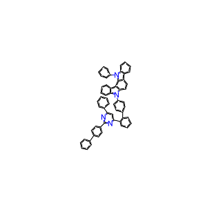 c1ccc(-c2ccc(-c3nc(-c4ccccc4)cc(-c4ccccc4-c4ccc(-n5c6ccccc6c6c5ccc5c7ccccc7n(-c7ccccc7)c56)cc4)n3)cc2)cc1